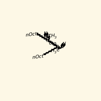 CCCCCCCC/C=C/CCCCCCCCN(CCOCCOCCN(CCCCCCCC/C=C/CCCCCCCC)CC(C)C[n+]1ccncc1)CC(C)C[n+]1ccncc1